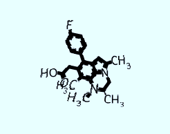 Cc1c(CC(=O)O)c(-c2ccc(F)cc2)c2cc(C)n3c2c1N(C)[C@@H](C)C3